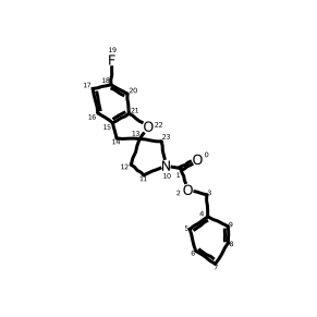 O=C(OCc1ccccc1)N1CCC2(Cc3ccc(F)cc3O2)C1